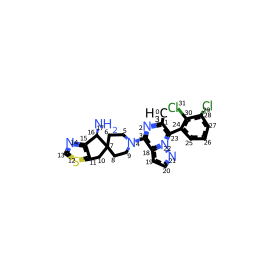 Cc1nc(N2CCC3(CC2)Cc2scnc2[C@H]3N)c2ccnn2c1-c1cccc(Cl)c1Cl